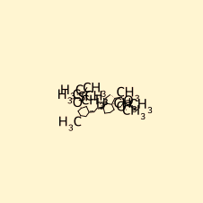 COC(OC)[C@@H](C)[C@H]1CC[C@H]2/C(=C/C=C3/C[C@@H](C)C[C@H](O[Si](C)(C)C(C)(C)C)C3)CCC[C@]12C